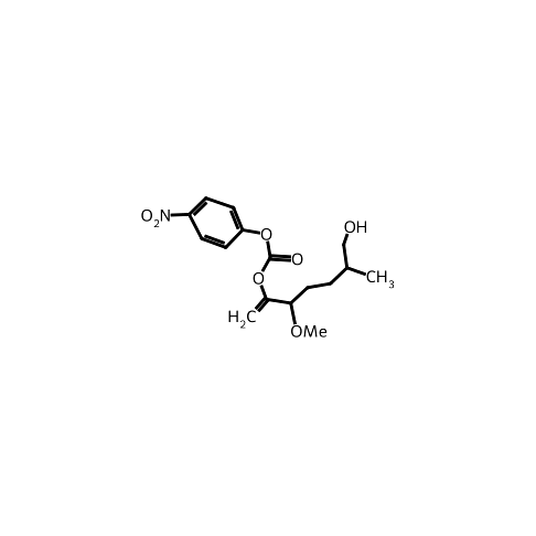 C=C(OC(=O)Oc1ccc([N+](=O)[O-])cc1)C(CCC(C)CO)OC